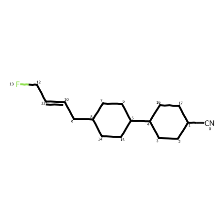 N#CC1CCC(C2CCC(C/C=C/CF)CC2)CC1